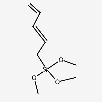 C=CC=CC[Si](OC)(OC)OC